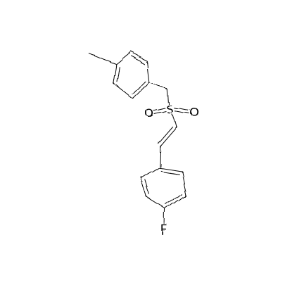 Cc1ccc(CS(=O)(=O)C=Cc2ccc(F)cc2)cc1